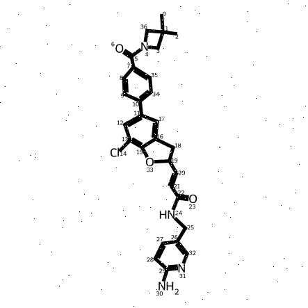 CC1(C)CN(C(=O)c2ccc(-c3cc(Cl)c4c(c3)CC(/C=C/C(=O)NCc3ccc(N)nc3)O4)cc2)C1